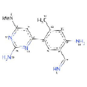 CNc1cc(-c2cc(C=N)c(N)cc2C)nc(N)n1